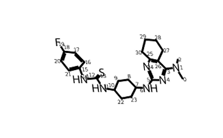 CN(C)c1nc(NC2CCC(NC(=S)Nc3ccc(F)cc3)CC2)nc2c1CCCC2